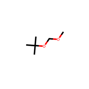 COCOC(C)(C)C